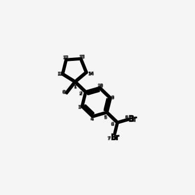 CC1(c2ccc(C(Br)Br)cc2)CCCC1